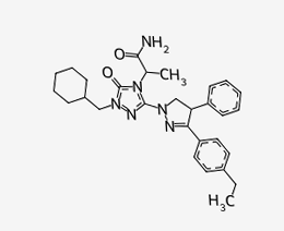 CCc1ccc(C2=NN(c3nn(CC4CCCCC4)c(=O)n3C(C)C(N)=O)CC2c2ccccc2)cc1